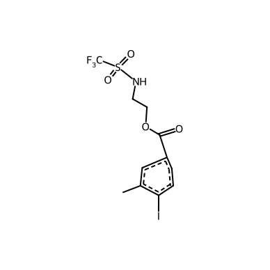 Cc1cc(C(=O)OCCNS(=O)(=O)C(F)(F)F)ccc1I